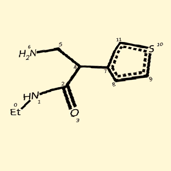 CCNC(=O)C(CN)c1ccsc1